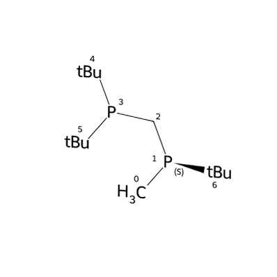 C[P@@](CP(C(C)(C)C)C(C)(C)C)C(C)(C)C